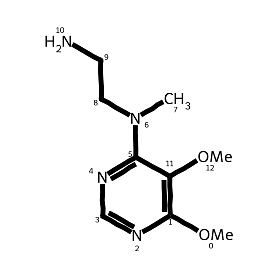 COc1ncnc(N(C)CCN)c1OC